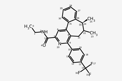 CCNC(=O)c1cc2c(c(-c3ccc(C(F)(F)F)cc3)n1)CC(C)[C@H](C)c1ccccc1-2